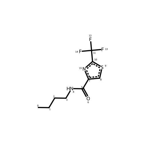 CCCCNC(=O)c1csc(C(F)(F)F)n1